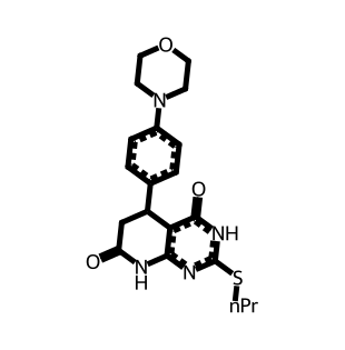 CCCSc1nc2c(c(=O)[nH]1)C(c1ccc(N3CCOCC3)cc1)CC(=O)N2